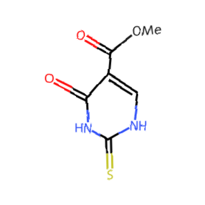 COC(=O)c1c[nH]c(=S)[nH]c1=O